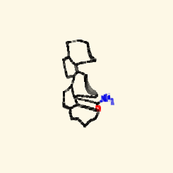 NC(=O)C12C=CC3=C4CCCCC4CCC3C1CCC1CCCC=C12